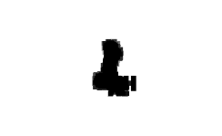 CC(=O)N(O)O[N]C(c1ccc(OCc2ccc3ccccc3n2)cc1)C1CCCCCC1